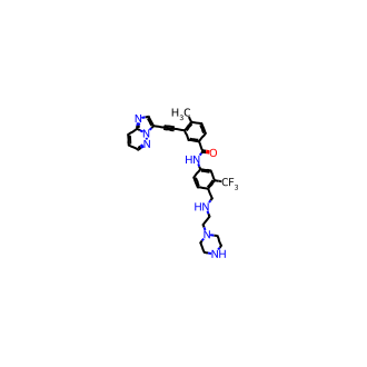 Cc1ccc(C(=O)Nc2ccc(CNCCN3CCNCC3)c(C(F)(F)F)c2)cc1C#Cc1cnc2cccnn12